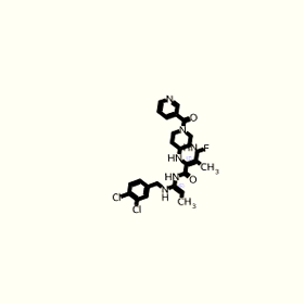 C/C=C(\NCc1ccc(Cl)c(Cl)c1)NC(=O)/C(NC1CCN(C(=O)c2cccnc2)CC1)=C(\C)C(=N)F